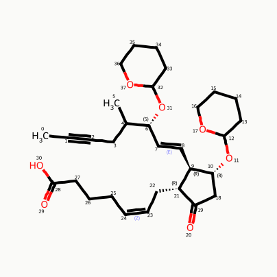 CC#CCC(C)[C@@H](/C=C/[C@H]1[C@H](OC2CCCCO2)CC(=O)[C@@H]1C/C=C\CCCC(=O)O)OC1CCCCO1